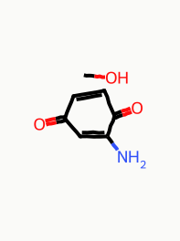 CO.NC1=CC(=O)C=CC1=O